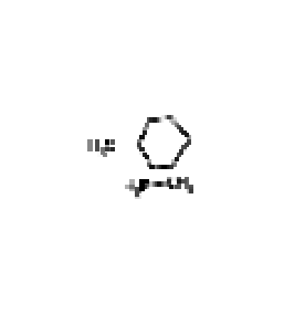 CC1CCCCC1.CP